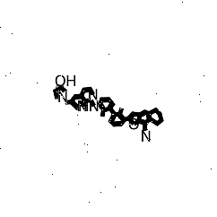 Cc1c(Nc2nccc3cc(CN4CC[C@@H](O)C4)cnc23)cccc1-c1cccc(-c2cc3cc4c(c(C#N)c3o2)CCCC4)c1C